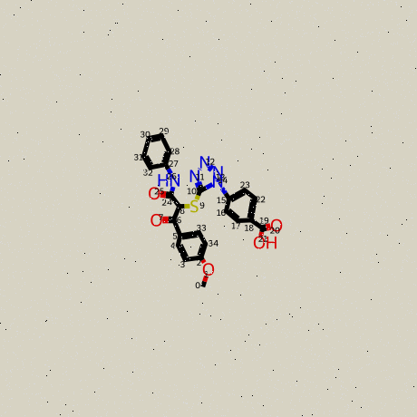 COc1ccc(C(=O)C(Sc2nnnn2-c2ccc(C(=O)O)cc2)C(=O)Nc2ccccc2)cc1